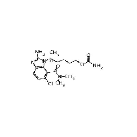 C[C@H](CCCCOC(N)=O)n1c(N)nc2ccc(Cl)c(C(=O)N(C)C)c21